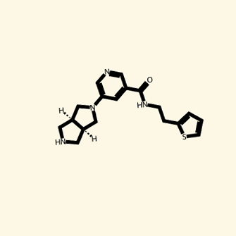 O=C(NCCc1cccs1)c1cncc(N2C[C@H]3CNC[C@H]3C2)c1